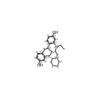 CCN(CCN1CCCCC1)c1cc(O)ccc1C1CCc2cc(O)ccc2C1